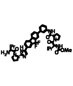 COC(=O)N[C@H](C(=O)N1CCC[C@H]1C(=O)Nc1cccc(-c2ccc3c(c2)C(F)(F)c2cc(-c4cnc([C@@H]5CCCN5C(=O)C(N)C(C)C)[nH]4)ccc2-3)c1)C(C)C